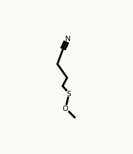 COSCCCC#N